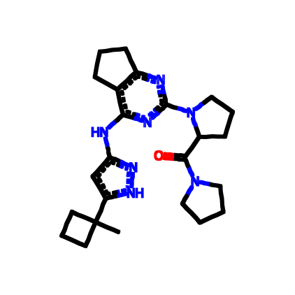 CC1(c2cc(Nc3nc(N4CCCC4C(=O)N4CCCC4)nc4c3CCC4)n[nH]2)CCC1